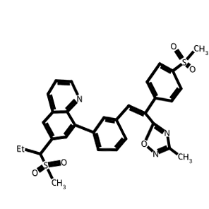 CCC(c1cc(-c2cccc(C=C(c3ccc(S(C)(=O)=O)cc3)c3nc(C)no3)c2)c2ncccc2c1)S(C)(=O)=O